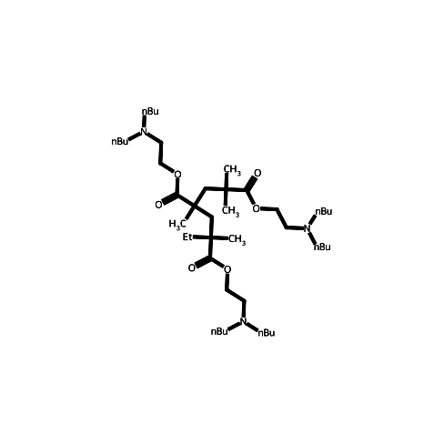 CCCCN(CCCC)CCOC(=O)C(C)(C)CC(C)(CC(C)(CC)C(=O)OCCN(CCCC)CCCC)C(=O)OCCN(CCCC)CCCC